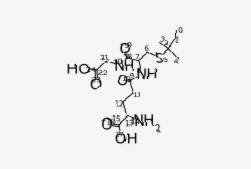 CCC(C)(C)SCC(NC(=O)CCC(N)C(=O)O)C(=O)NCC(=O)O